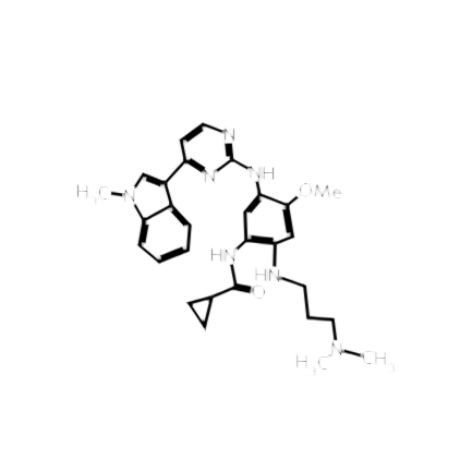 COc1cc(NCCCN(C)C)c(NC(=O)C2CC2)cc1Nc1nccc(-c2cn(C)c3ccccc23)n1